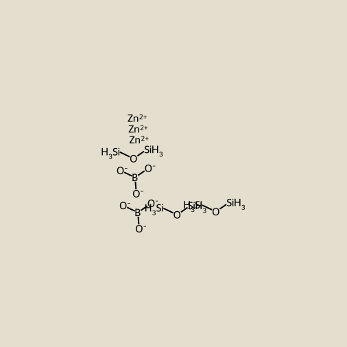 [O-]B([O-])[O-].[O-]B([O-])[O-].[SiH3]O[SiH3].[SiH3]O[SiH3].[SiH3]O[SiH3].[Zn+2].[Zn+2].[Zn+2]